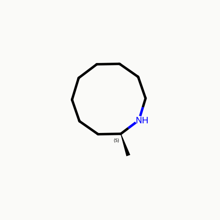 C[C@H]1CCCCCCCCN1